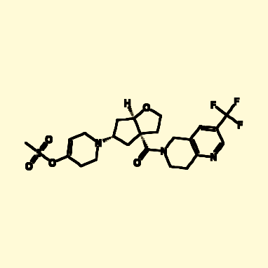 CS(=O)(=O)OC1=CCN([C@@H]2C[C@H]3OCC[C@@]3(C(=O)N3CCc4ncc(C(F)(F)F)cc4C3)C2)CC1